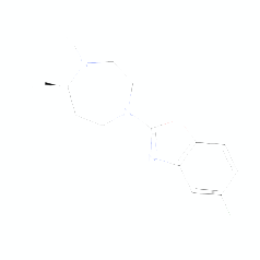 C[C@@H]1CCN(c2nc3cc(Cl)ccc3o2)CCN1C